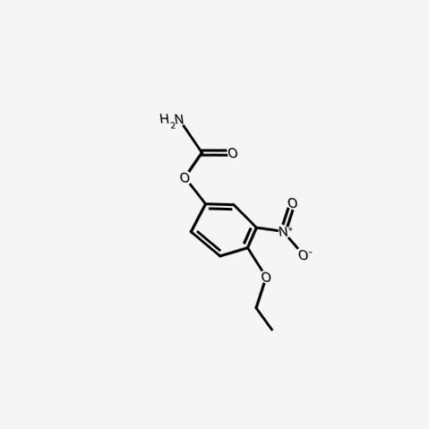 CCOc1ccc(OC(N)=O)cc1[N+](=O)[O-]